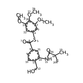 COc1cc(SC(=O)c2ccc(CO)c(NC(=O)C(C)F)c2)cc(OC)c1OC